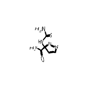 NC(=O)C1(NC(N)=S)C=CN=N1